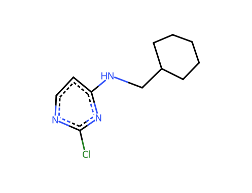 Clc1nccc(NCC2CCCCC2)n1